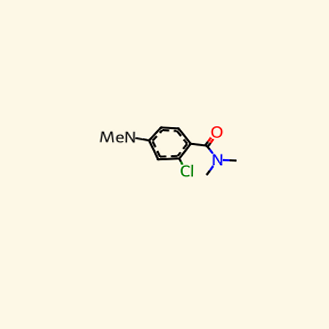 CNc1ccc(C(=O)N(C)C)c(Cl)c1